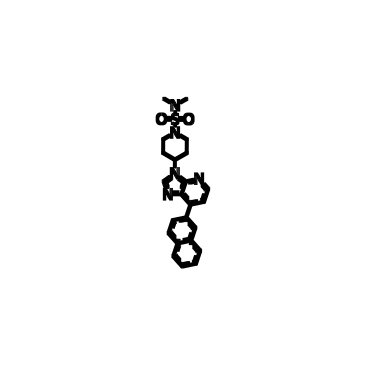 CN(C)S(=O)(=O)N1CCC(n2cnc3c(-c4ccc5ccccc5c4)ccnc32)CC1